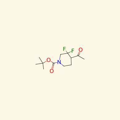 CC(=O)C1CCN(C(=O)OC(C)(C)C)CC1(F)F